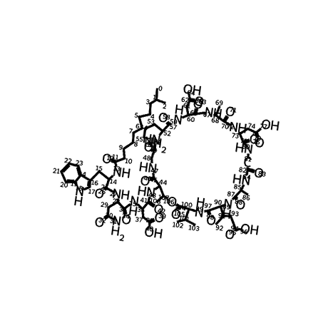 CC(C)CCCCCCCCC(=O)NC(Cc1c[nH]c2ccccc12)C(=O)NC(CC(N)=O)C(=O)NC(CC(=O)O)C(=O)NC1C(=O)NCC(=O)NC(CCCN)C(=O)NC(CC(=O)O)C(=O)NC(C)C(=O)NC(CC(=O)O)C(=O)NCC(=O)NC(C)C(=O)NC(C(C)CC(=O)O)C(=O)NC(C(C)C)C(=O)OC1C